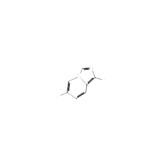 CC(=O)c1ncn2cc(Br)ccc12